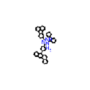 NC(NC(/N=C/c1ccc(-c2c3ccccc3cc3c2ccc2ccccc23)cc1)c1ccc2c(c1)-c1cccc3cccc-2c13)c1ccccc1-c1ccccc1